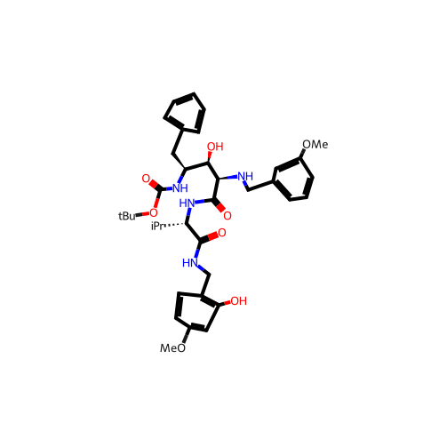 COc1cccc(CN[C@@H](C(=O)N[C@H](C(=O)NCc2ccc(OC)cc2O)C(C)C)[C@H](O)[C@H](Cc2ccccc2)NC(=O)OC(C)(C)C)c1